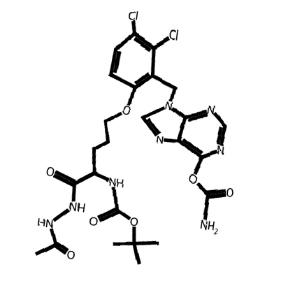 CC(=O)NNC(=O)C(CCCOc1ccc(Cl)c(Cl)c1Cn1cnc2c(OC(N)=O)ncnc21)NC(=O)OC(C)(C)C